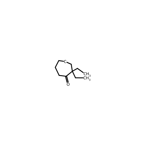 CCC1(CC)CCCCCC1=O